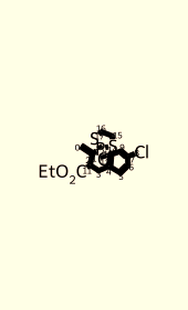 C=C(C(Cc1ccc(Cl)cc1)C(=O)OCC)P1(=O)SCCS1